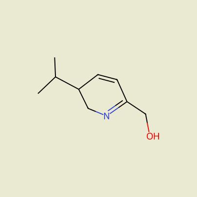 CC(C)C1C=CC(CO)=NC1